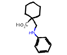 O=C(O)C1(CNc2ccccc2)CCCCC1